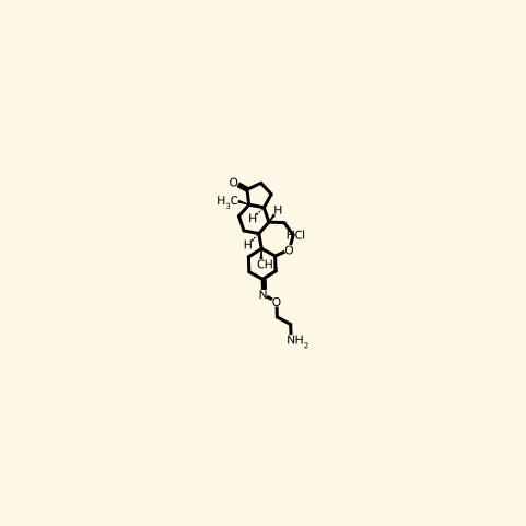 C[C@]12CC/C(=N/OCCN)CC1OCC[C@@H]1[C@@H]2CC[C@]2(C)C(=O)CC[C@@H]12.Cl